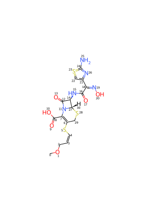 COC/C=C\SC1=C(C(=O)O)N2C(=O)[C@@H](NC(=O)/C(=N\O)c3csc(N)n3)[C@@H]2SC1